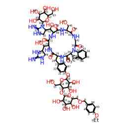 CCOc1ccc(COCC2OC(OC3C(CO)OC(Oc4ccc(CC5NC(=O)C(C)N(c6ccccc6C)C(=O)CNC(=O)C(CO)NC(=O)C(C(O)C6CNC(=N)N6C6OC(CO)C(O)C(O)C6O)NC(=O)C(C(O)C6CNC(=N)N6)NC5=O)cc4)C(O)C3O)C(O)C(O)C2O)cc1